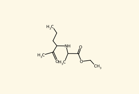 CCCC(NC(C)C(=O)OCC)C(C)=O